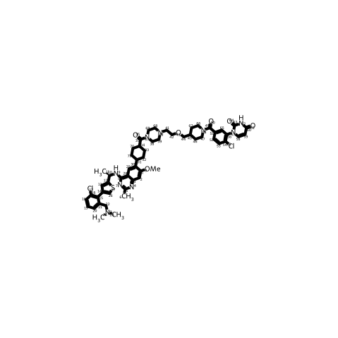 COc1cc2nc(C)nc(N[C@H](C)c3cc(-c4c(Cl)cccc4CN(C)C)cs3)c2cc1C1CCC(C(=O)N2CCN(CCOCC3CCN(C(=O)c4ccc(Cl)c(-n5ccc(=O)[nH]c5=O)c4)CC3)CC2)CC1